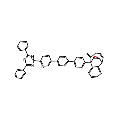 C=C1C/C=C\C2c3ccccc3C1(c1ccc(-c3ccc(-c4ccc(-c5nc(-c6ccccc6)nc(-c6ccccc6)n5)nc4)cc3)cc1)c1ccccc12